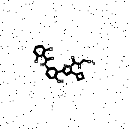 CCNC(=O)n1nc(-c2cc(NC(=O)c3c(Cl)cccc3Cl)ccc2O)cc1C1CCC1